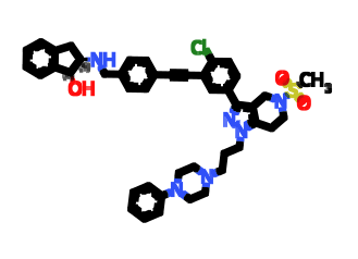 CS(=O)(=O)N1CCc2c(c(-c3ccc(Cl)c(C#Cc4ccc(CN[C@H]5Cc6ccccc6[C@H]5O)cc4)c3)nn2CCCN2CCN(c3ccccc3)CC2)C1